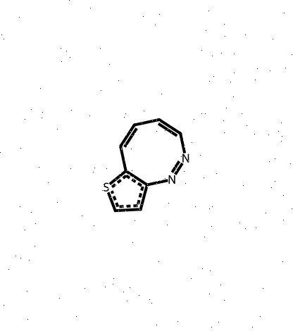 C1=CN=Nc2ccsc2C=C1